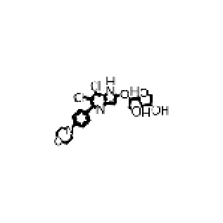 O[C@@H]1CO[C@H]2[C@@H]1OC[C@H]2Oc1cc2nc(-c3ccc(N4CCOCC4)cc3)c(Cl)c(Cl)c2[nH]1